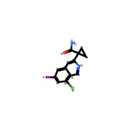 NC(=O)C1(c2cc3cc(I)cc(Cl)c3cn2)CC1